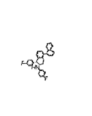 Fc1ccc(NC2C=Cc3c(-c4cccc5ccccc45)cccc3[C@H]2c2ccc(F)cc2)cc1